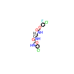 C=C(CCNC(=O)COc1ccc(Cl)c(F)c1)NC(=O)[C@@H]1CNc2cc(Cl)ccc2O1